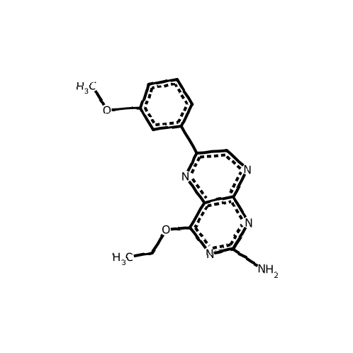 CCOc1nc(N)nc2ncc(-c3cccc(OC)c3)nc12